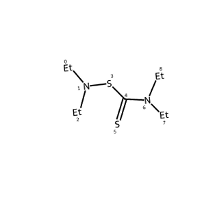 CCN(CC)SC(=S)N(CC)CC